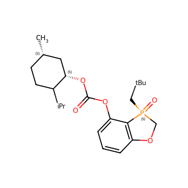 CC(C)C1CC[C@H](C)C[C@@H]1OC(=O)Oc1cccc2c1[P@@](=O)(CC(C)(C)C)CO2